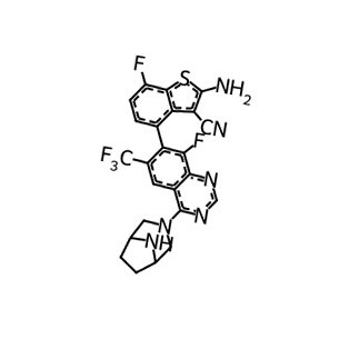 N#Cc1c(N)sc2c(F)ccc(-c3c(C(F)(F)F)cc4c(N5CC6CCC(C5)N6)ncnc4c3F)c12